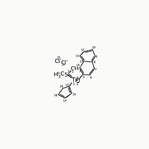 C[Si](C)=[Ti+2]([O]c1ccc2ccccc2c1)[C]1=CC=CC1.[Cl-].[Cl-]